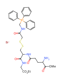 CCOC(=O)CNC(=O)C(CSSCC(=O)NC[P+](c1ccccc1)(c1ccccc1)c1ccccc1)NC(=O)CCC(N)C(=O)OC.[Br-]